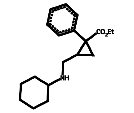 CCOC(=O)C1(c2ccccc2)CC1CNC1CCCCC1